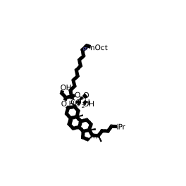 CCCCCCCC/C=C\CCCCCCCCC(OP(=O)(O)O)(C(=O)O)C(CO)OC1CC[C@@]2(C)C(=CCC3C2CC[C@@]2(C)C3CC[C@@H]2[C@H](C)CCCC(C)C)C1